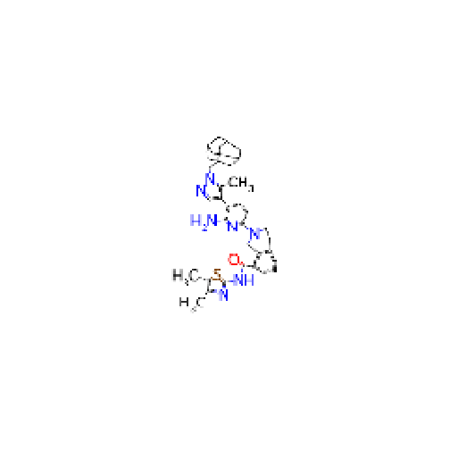 Cc1nc(NC(=O)c2cccc3c2CN(c2ccc(-c4cnn(CC56CC7CC(CC(C7)C5)C6)c4C)c(N)n2)CC3)sc1C